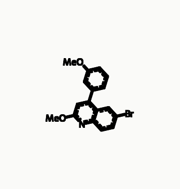 COc1cccc(-c2cc(OC)nc3ccc(Br)cc23)c1